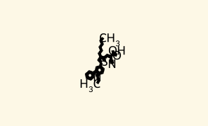 CCCCCCc1cc(-c2ccc3c(c2)c2ccccc2n3CC)sc1/C=C(\C#N)C(=O)O